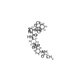 C=CC(=O)Nc1cccc(S(=O)(=O)N2CCC(NC(=O)c3nscc3NC(=O)c3c(Cl)cccc3Cl)CC2)c1